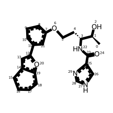 C[C@H](O)[C@@H](CCOc1cccc(-c2cc3ccccc3o2)c1)NC(=O)c1c[nH]cn1